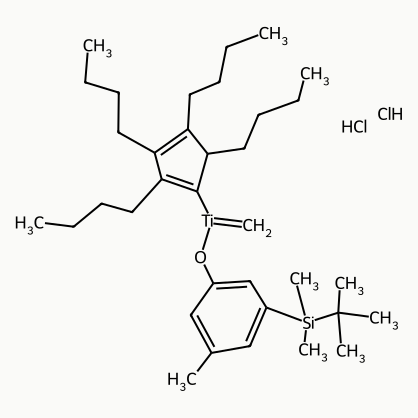 Cl.Cl.[CH2]=[Ti]([O]c1cc(C)cc([Si](C)(C)C(C)(C)C)c1)[C]1=C(CCCC)C(CCCC)=C(CCCC)C1CCCC